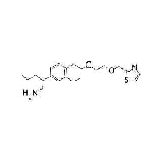 CCCC(CN)c1ccc2c(c1)CCC(OCCOCc1nccs1)C2